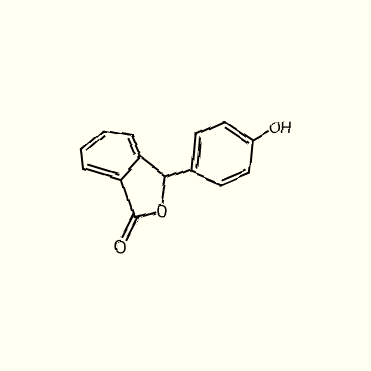 O=C1OC(c2ccc(O)cc2)c2ccccc21